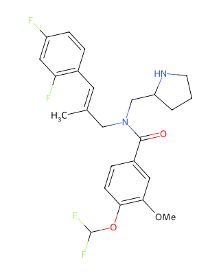 COc1cc(C(=O)N(CC(C)=Cc2ccc(F)cc2F)CC2CCCN2)ccc1OC(F)F